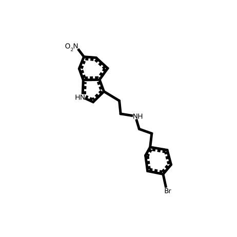 O=[N+]([O-])c1ccc2c(CCNCCc3ccc(Br)cc3)c[nH]c2c1